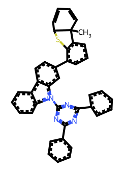 CC12C=CC=CC1Sc1c(-c3ccc4c5ccccc5n(-c5nc(-c6ccccc6)nc(-c6ccccc6)n5)c4c3)cccc12